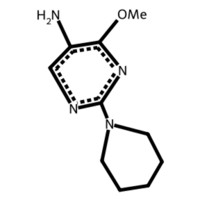 COc1nc(N2CCCCC2)ncc1N